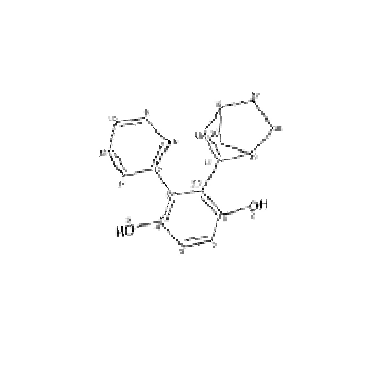 Oc1ccc(O)c(-c2ccccc2)c1C1=CC2CCC1C2